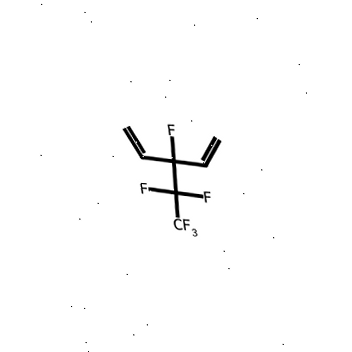 C=CC(F)(C=C)C(F)(F)C(F)(F)F